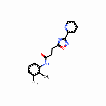 Cc1cccc(NC(=O)CCc2nc(-c3ccccn3)no2)c1C